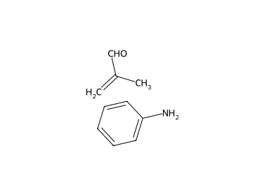 C=C(C)C=O.Nc1ccccc1